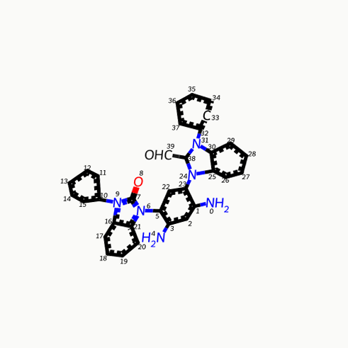 Nc1cc(N)c(-n2c(=O)n(-c3ccccc3)c3ccccc32)cc1N1c2ccccc2N(c2ccccc2)C1C=O